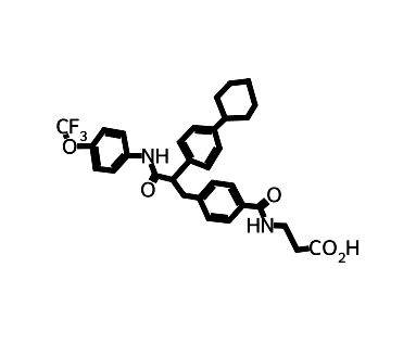 O=C(O)CCNC(=O)c1ccc(CC(C(=O)Nc2ccc(OC(F)(F)F)cc2)c2ccc(C3CCCCC3)cc2)cc1